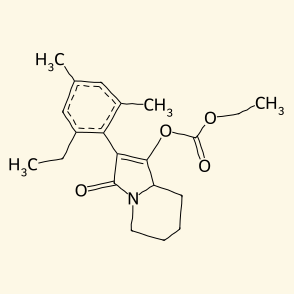 CCOC(=O)OC1=C(c2c(C)cc(C)cc2CC)C(=O)N2CCCCC12